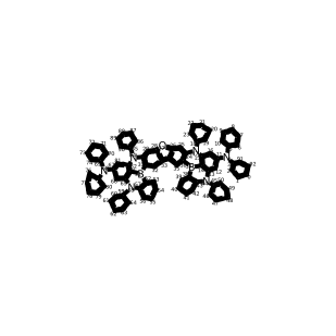 c1ccc(N(c2ccccc2)c2cc3c4c(c2)N(c2ccccc2)c2cc5oc6cc7c(cc6c5cc2B4c2ccccc2N3c2ccccc2)B2c3ccccc3N(c3ccccc3)c3cc(N(c4ccccc4)c4ccccc4)cc(c32)N7c2ccccc2)cc1